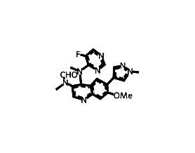 COc1cc2ncc(N(C)C=O)c(N(C)c3ncncc3F)c2cc1-c1cnn(C)c1